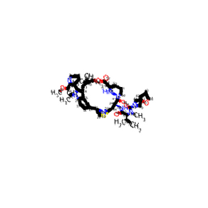 CCn1c(-c2cccnc2[C@H](C)OC)c2c3cc(ccc31)-c1csc(n1)C[C@H](NC(=O)[C@H](C(C)C)N(C)C(=O)N1CC3(CCCO3)C1)C(=O)N1CCC[C@@]([SiH3])(N1)C(=O)OCC(C)(C)C2